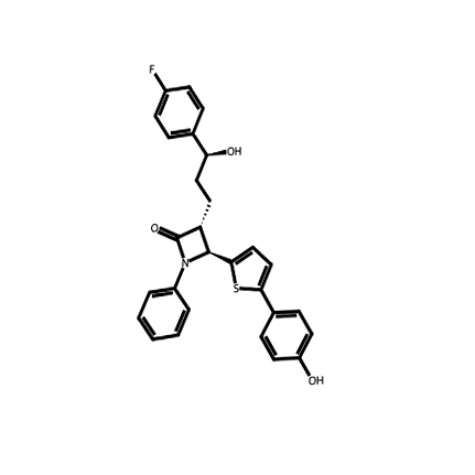 O=C1[C@H](CC[C@H](O)c2ccc(F)cc2)[C@@H](c2ccc(-c3ccc(O)cc3)s2)N1c1ccccc1